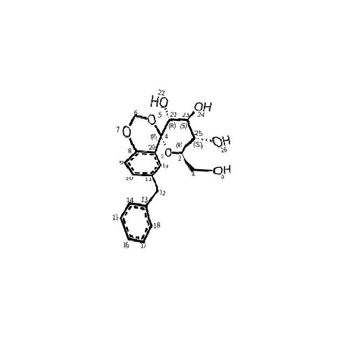 OC[C@H]1O[C@]2(OCOc3ccc(Cc4ccccc4)cc32)[C@H](O)[C@@H](O)[C@@H]1O